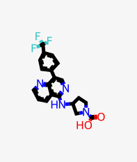 O=C(O)N1CCC(Nc2ncc(-c3ccc(C(F)(F)F)cc3)c3ncccc23)C1